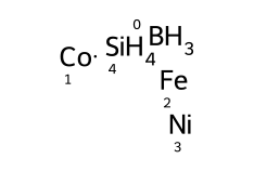 B.[Co].[Fe].[Ni].[SiH4]